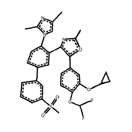 Cc1cn(-c2ccc(-c3cccc(S(C)(=O)=O)c3)cc2-c2nc(C)oc2-c2ccc(OC(F)F)c(OC3CC3)c2)c(C)n1